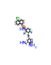 N=Cc1cc(C#Cc2c(F)ccc(NOSc3cccc4c(Cl)cccc34)c2F)cnc1N